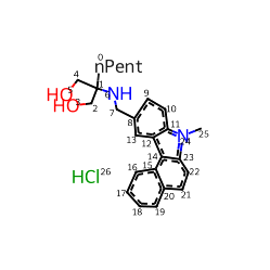 CCCCCC(CO)(CO)NCc1ccc2c(c1)c1c3ccccc3ccc1n2C.Cl